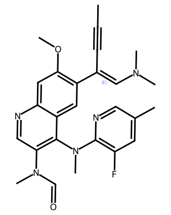 CC#C/C(=C\N(C)C)c1cc2c(N(C)c3ncc(C)cc3F)c(N(C)C=O)cnc2cc1OC